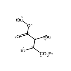 CCCCC(C(=O)OC(C)(C)C)C(CC)C(=O)OCC